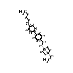 CCCCOc1cnc(-c2ccc(CC[C@H]3CC[C@H](CC)CC3)cc2)nc1